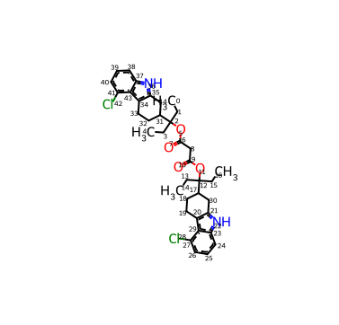 CCC(CC)(OC(=O)CC(=O)OC(CC)(CC)C1CCc2c([nH]c3cccc(Cl)c23)C1)C1CCc2c([nH]c3cccc(Cl)c23)C1